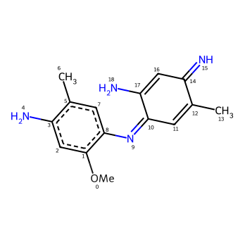 COc1cc(N)c(C)cc1N=C1C=C(C)C(=N)C=C1N